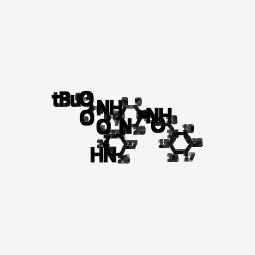 CC(C)(C)OC(=O)NC(=O)[C@@H]1CC[C@@H](NOCc2ccccc2)CN1C1CCNCC1